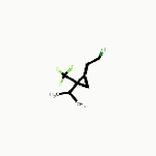 CC(C)C1(C(F)(F)F)CC1CCCl